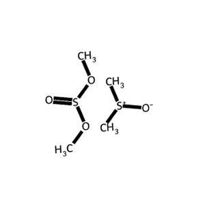 COS(=O)OC.C[S+](C)[O-]